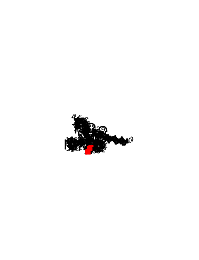 CCCCCCCOC(=O)OC(C)N(c1nc(-c2ccncc2)nc(OC)c1Oc1ccccc1OC)S(=O)(=O)c1ccc(C)cn1